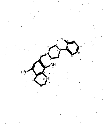 Bc1cc(CN2CCN(c3ccccc3F)CC2)c(O)c2c1CCCN2